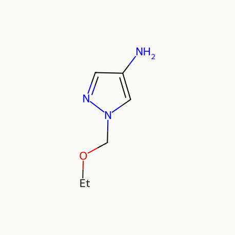 CCOCn1cc(N)cn1